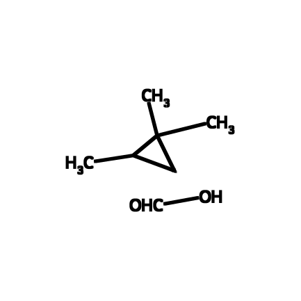 CC1CC1(C)C.O=CO